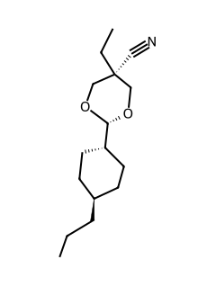 CCC[C@H]1CC[C@H]([C@H]2OC[C@](C#N)(CC)CO2)CC1